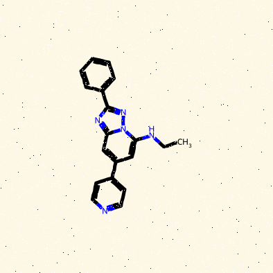 CCNc1cc(-c2ccncc2)cc2nc(-c3ccccc3)nn12